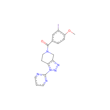 COc1ccc(C(=O)N2CCc3c(nnn3-c3ncccn3)C2)cc1I